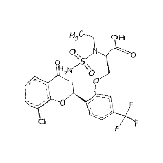 CCN([C@H](COc1cc(C(F)(F)F)ccc1[C@@H]1CC(=O)c2cccc(Cl)c2O1)C(=O)O)S(N)(=O)=O